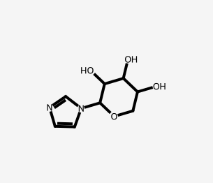 OC1COC(n2ccnc2)C(O)C1O